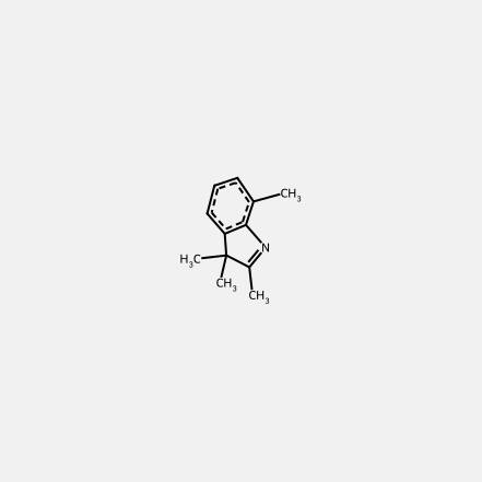 CC1=Nc2c(C)cccc2C1(C)C